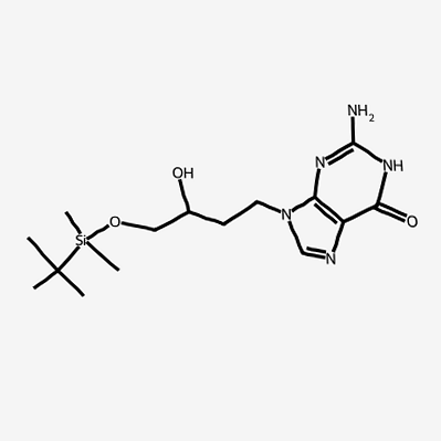 CC(C)(C)[Si](C)(C)OCC(O)CCn1cnc2c(=O)[nH]c(N)nc21